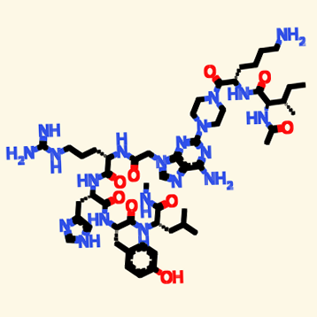 CC[C@H](C)[C@H](NC(C)=O)C(=O)N[C@@H](CCCCN)C(=O)N1CCN(c2nc(N)c3ncn(CC(=O)N[C@@H](CCCNC(=N)N)C(=O)N[C@@H](Cc4c[nH]cn4)C(=O)N[C@@H](Cc4ccc(O)cc4)C(=O)N[C@@H](CC(C)C)C(=O)NC)c3n2)CC1